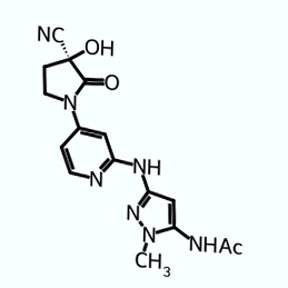 CC(=O)Nc1cc(Nc2cc(N3CC[C@](O)(C#N)C3=O)ccn2)nn1C